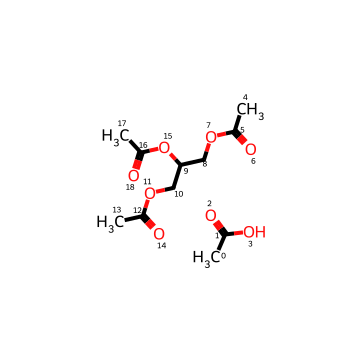 CC(=O)O.CC(=O)OCC(COC(C)=O)OC(C)=O